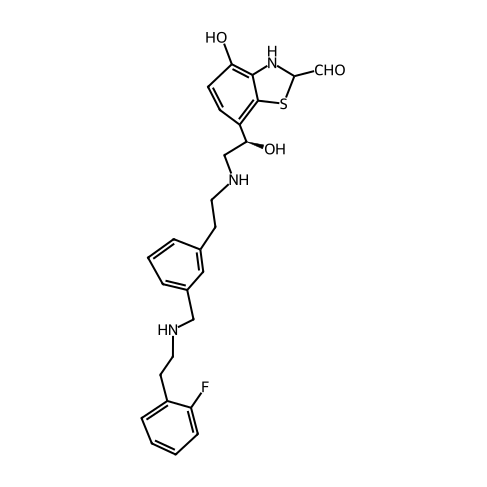 O=CC1Nc2c(O)ccc([C@@H](O)CNCCc3cccc(CNCCc4ccccc4F)c3)c2S1